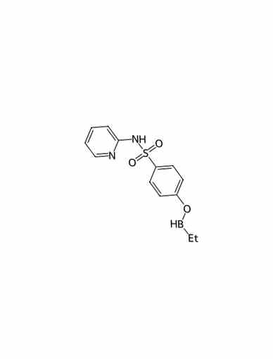 CCBOc1ccc(S(=O)(=O)Nc2ccccn2)cc1